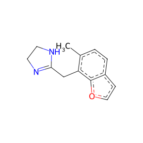 Cc1ccc2ccoc2c1CC1=NCCN1